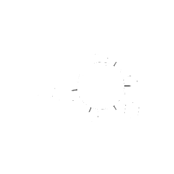 CCCCCC[C@H]1OC[C@@H](C)NC(=O)[C@H](COCC(O)CN)NC(=O)[C@H](CN)NC(=O)[C@H](C2CCCCC2)NC(=O)[C@H](CC(C)C)N(C)C(=O)[C@@H]1C